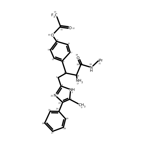 Cc1[nH]c(CC(c2ccc(OC(=O)C(F)(F)F)cc2)C(N)C(=O)NC(C)C)nc1-c1ccccc1